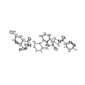 O=C(N[C@H]1CC[C@H](CN2C(=O)C3(CN(C(=O)c4cccnn4)C3)c3ccccc32)CC1)c1cc(Cl)cnc1C(F)F